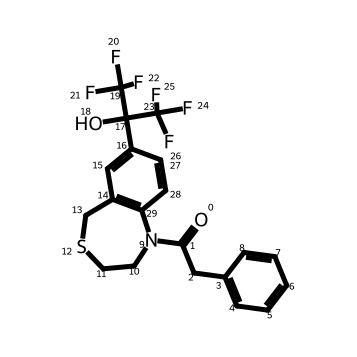 O=C(Cc1ccccc1)N1CCSCc2cc(C(O)(C(F)(F)F)C(F)(F)F)ccc21